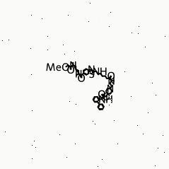 COCC(=O)N(C)CCCN(C)C(=O)c1ccc2nc(NCCCCCC(=O)N(C)CCN3CCC(OC(=O)Nc4ccccc4-c4ccccc4)CC3)sc2c1